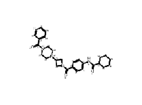 O=C(Nc1ccc(C(=O)N2CC(N3CCN(C(=O)c4ccccc4)CC3)C2)cc1)C1CCCCC1